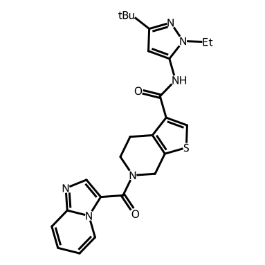 CCn1nc(C(C)(C)C)cc1NC(=O)c1csc2c1CCN(C(=O)c1cnc3ccccn13)C2